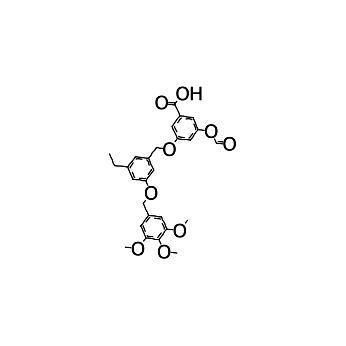 CCc1cc(COc2cc(OC=O)cc(C(=O)O)c2)cc(OCc2cc(OC)c(OC)c(OC)c2)c1